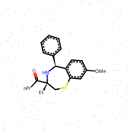 CCCC(=O)[C@@]1(CC)CSc2cc(OC)ccc2[C@H](c2ccccc2)N1